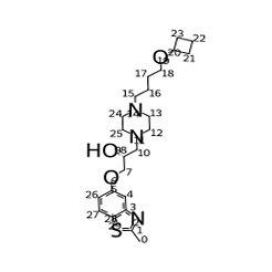 Cc1nc2cc(OC[C@H](O)CN3CCN(CCCCOC4CCC4)CC3)ccc2s1